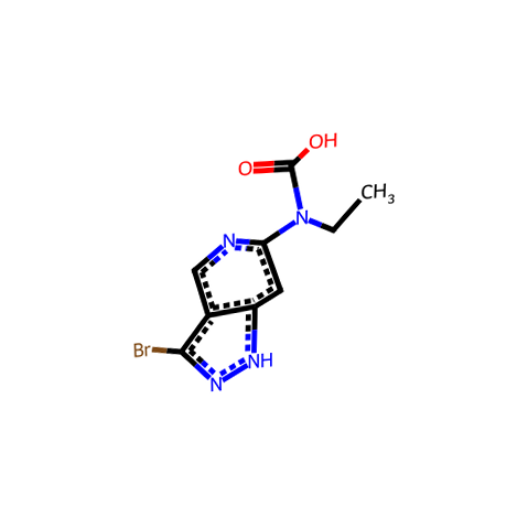 CCN(C(=O)O)c1cc2[nH]nc(Br)c2cn1